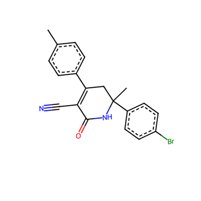 Cc1ccc(C2=C(C#N)C(=O)NC(C)(c3ccc(Br)cc3)C2)cc1